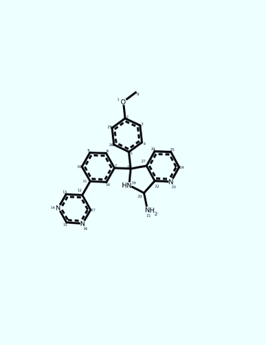 COc1ccc(C2(c3cccc(-c4cncnc4)c3)NC(N)c3ncccc32)cc1